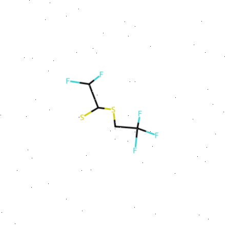 FC(F)C([S])SCC(F)(F)F